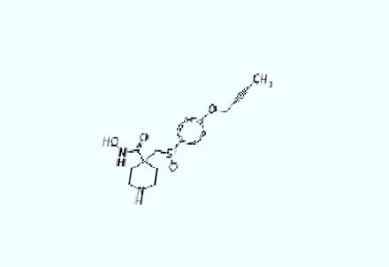 CC#CCOc1ccc([S+]([O-])CC2(C(=O)NO)CCNCC2)cc1